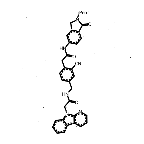 CCCC(C)N1Cc2cc(NC(=O)Cc3ccc(CNC(=O)Cn4c5ccccc5c5cccnc54)cc3C#N)ccc2C1=O